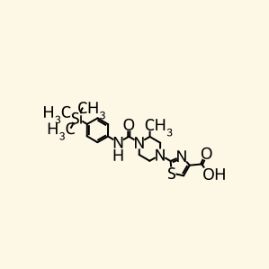 CC1CN(c2nc(C(=O)O)cs2)CCN1C(=O)Nc1ccc([Si](C)(C)C)cc1